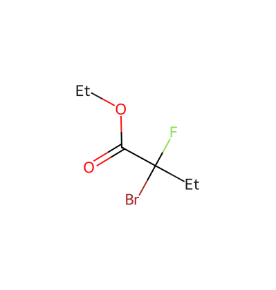 CCOC(=O)C(F)(Br)CC